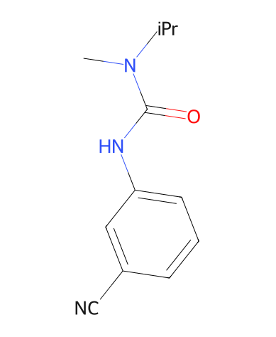 CC(C)N(C)C(=O)Nc1cccc(C#N)c1